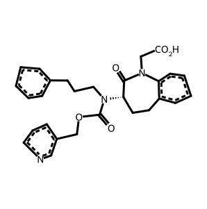 O=C(O)CN1C(=O)[C@@H](N(CCCc2ccccc2)C(=O)OCc2cccnc2)CCc2ccccc21